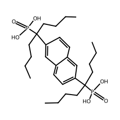 CCCCC(CCCC)(c1ccc2cc(C(CCCC)(CCCC)P(=O)(O)O)ccc2c1)P(=O)(O)O